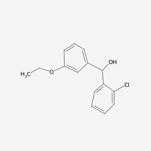 CCOc1cccc(C(O)c2ccccc2Cl)c1